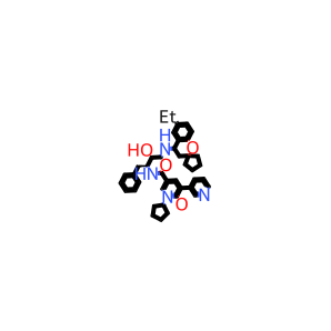 CCc1ccc2c(c1)C(NC[C@@H](O)[C@H](Cc1ccccc1)NC(=O)c1cc(-c3cccnc3)c(=O)n(C3CCCC3)c1)CC1(CCCC1)O2